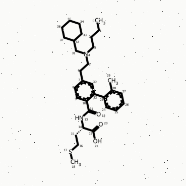 CCCCN(CCc1ccc(C(=O)N[C@@H](CCSC)C(=O)O)c(-c2ccccc2C)c1)CC1CCCCC1